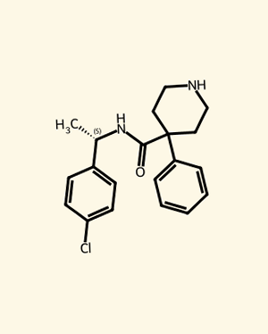 C[C@H](NC(=O)C1(c2ccccc2)CCNCC1)c1ccc(Cl)cc1